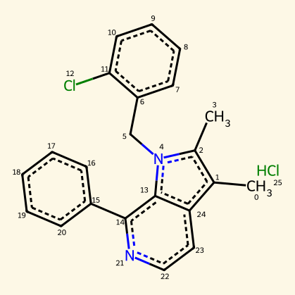 Cc1c(C)n(Cc2ccccc2Cl)c2c(-c3ccccc3)nccc12.Cl